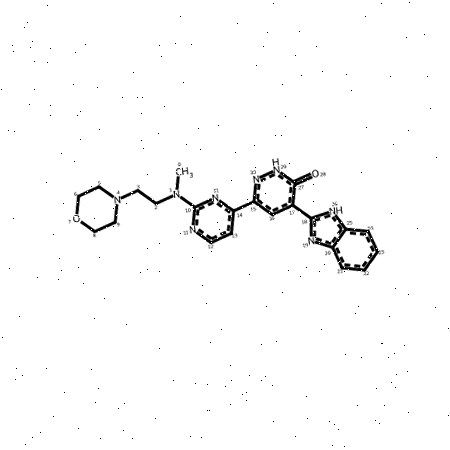 CN(CCN1CCOCC1)c1nccc(-c2cc(-c3nc4ccccc4[nH]3)c(=O)[nH]n2)n1